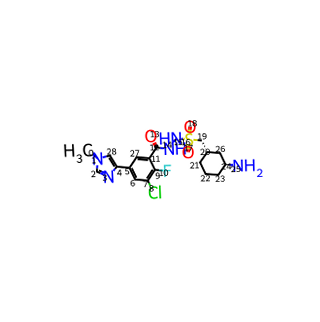 Cn1cnc(-c2cc(Cl)c(F)c(C(=O)NNS(=O)(=O)C[C@H]3CCC[C@H](N)C3)c2)c1